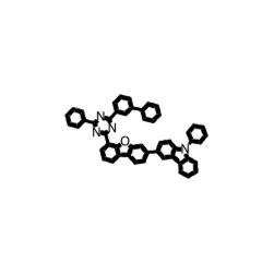 c1ccc(-c2cccc(-c3nc(-c4ccccc4)nc(-c4cccc5c4oc4cc(-c6ccc7c(c6)c6ccccc6n7-c6ccccc6)ccc45)n3)c2)cc1